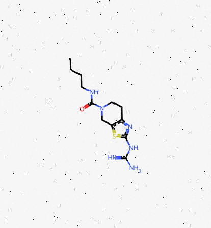 CCCCNC(=O)N1CCc2nc(NC(=N)N)sc2C1